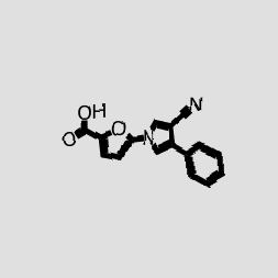 N#Cc1cn(-c2ccc(C(=O)O)o2)cc1-c1ccccc1